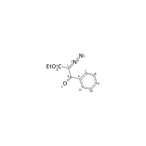 CCOC(=O)C(=[N+]=[N-])C(=O)c1ccccc1